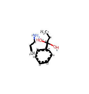 C=CCN.CCC(O)(O)c1ccccc1